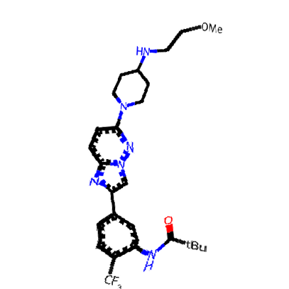 COCCNC1CCN(c2ccc3nc(-c4ccc(C(F)(F)F)c(NC(=O)C(C)(C)C)c4)cn3n2)CC1